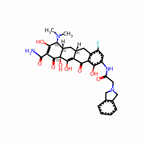 CN(C)[C@@H]1C(O)=C(C(N)=O)C(=O)[C@@]2(O)C(O)=C3C(=O)c4c(O)c(NC(=O)CN5Cc6ccccc6C5)cc(F)c4C[C@H]3C[C@@H]12